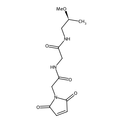 CO[C@@H](C)CNC(=O)CNC(=O)CN1C(=O)C=CC1=O